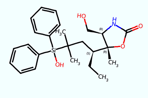 CC[C@@H](CC(C)(C)[Si](O)(c1ccccc1)c1ccccc1)[C@@]1(C)OC(=O)N[C@@H]1CO